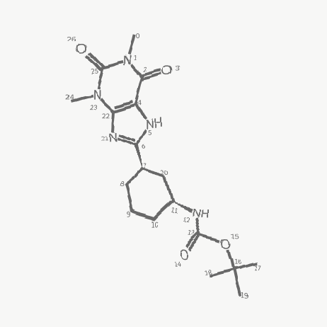 Cn1c(=O)c2[nH]c([C@@H]3CCC[C@H](NC(=O)OC(C)(C)C)C3)nc2n(C)c1=O